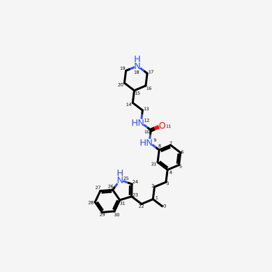 CC(CCc1cccc(NC(=O)NCCC2CCNCC2)c1)Cc1c[nH]c2ccccc12